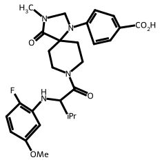 COc1ccc(F)c(NC(C(=O)N2CCC3(CC2)C(=O)N(C)CN3c2ccc(C(=O)O)cc2)C(C)C)c1